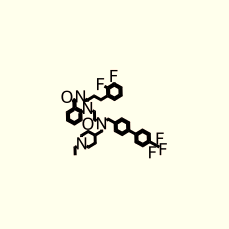 CCN1CCC(CN(Cc2ccc(-c3ccc(C(F)(F)F)cc3)cc2)C(=O)Cn2c(CCc3cccc(F)c3F)nc(=O)c3ccccc32)CC1